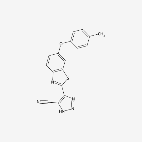 Cc1ccc(Oc2ccc3nc(-c4nn[nH]c4C#N)sc3c2)cc1